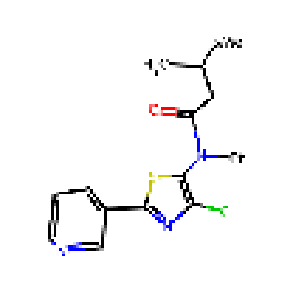 CCN(C(=O)CC(C)SC)c1sc(-c2cccnc2)nc1Cl